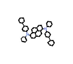 C1=CCCC(N(c2ccc(-c3ccccc3)cc2)c2ccc3ccc4c(N(c5ccccc5)c5ccc(-c6ccccc6)cc5)ccc5ccc2c3c54)=C1